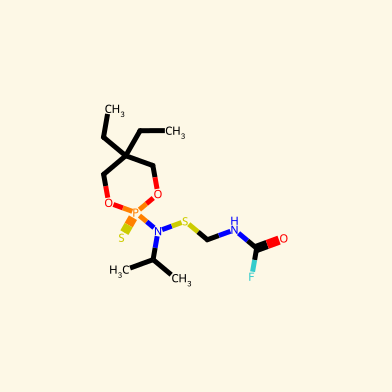 CCC1(CC)COP(=S)(N(SCNC(=O)F)C(C)C)OC1